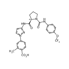 Cc1cc(-n2ccc(NC(=O)[C@H]3CCCN3C(=O)Nc3ccc(OC(F)(F)F)cc3)n2)ccc1C(=O)O